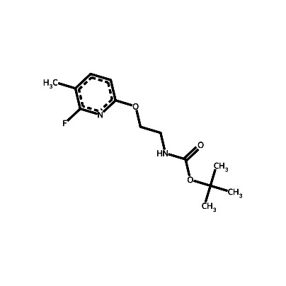 Cc1ccc(OCCNC(=O)OC(C)(C)C)nc1F